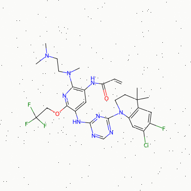 C=CC(=O)Nc1cc(Nc2ncnc(N3CCC(C)(C)c4cc(F)c(Cl)cc43)n2)c(OCC(F)(F)F)nc1N(C)CCN(C)C